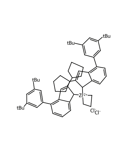 CC(C)(C)c1cc(-c2cccc3c2C=C(C2CCCC2)[CH]3[Zr+2]2([CH]3C(C4CCCC4)=Cc4c(-c5cc(C(C)(C)C)cc(C(C)(C)C)c5)cccc43)[CH2]C[CH2]2)cc(C(C)(C)C)c1.[Cl-].[Cl-]